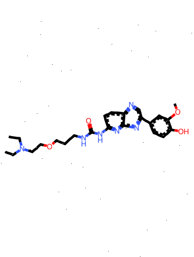 CCN(CC)CCOCCCNC(=O)Nc1ccc2ncc(-c3ccc(O)c(OC)c3)nc2n1